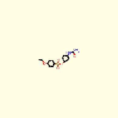 CCOc1ccc(S(=O)(=O)Oc2ccc(NC(N)=O)cc2)cc1